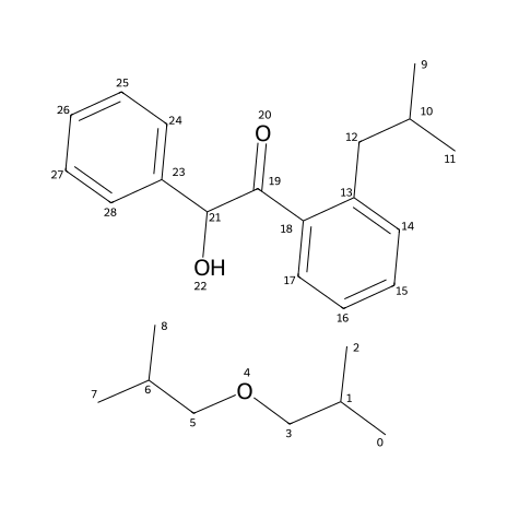 CC(C)COCC(C)C.CC(C)Cc1ccccc1C(=O)C(O)c1ccccc1